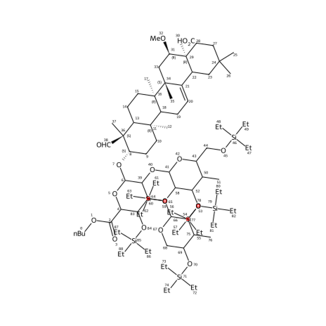 CCCCOC(=O)C1OC(O[C@H]2CC[C@@]3(C)C(CC[C@]4(C)C3CC=C3C5CC(C)(C)CC[C@]5(C(=O)O)[C@H](OC)C[C@]34C)[C@]2(C)C=O)C(OC2OC(CO[Si](CC)(CC)CC)C(C)C(O[Si](CC)(CC)CC)C2O[Si](CC)(CC)CC)C(OC2OCC(O[Si](CC)(CC)CC)C(C)C2O[Si](CC)(CC)CC)C1O[Si](CC)(CC)CC